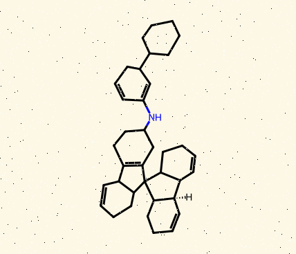 C1=CC2C3=C(CC(NC4=CC(C5CCCCC5)CC=C4)CC3)C3(C2CC1)C1CCC=CC1[C@H]1C=CCCC13